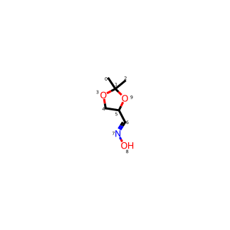 CC1(C)OCC(C=NO)O1